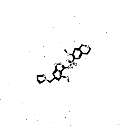 COc1cc2c(cc1S(=O)(=O)Nc1noc3cc(Cn4cccn4)cc(OC)c13)CCOC2